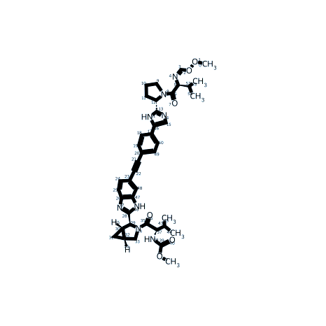 COO/C=N\[C@H](C(=O)N1CCC[C@H]1c1ncc(-c2ccc(C#Cc3ccc4nc([C@@H]5[C@H]6C[C@H]6CN5C(=O)[C@@H](NC(=O)OC)C(C)C)[nH]c4c3)cc2)[nH]1)C(C)C